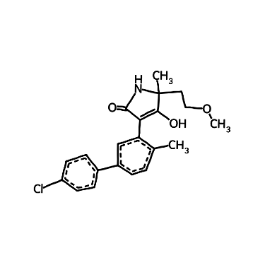 COCCC1(C)NC(=O)C(c2cc(-c3ccc(Cl)cc3)ccc2C)=C1O